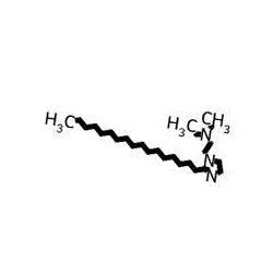 CCCCCCCCCCCCCCCCCC1=NCCN1CCN(CC)CC